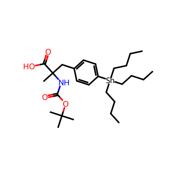 CCC[CH2][Sn]([CH2]CCC)([CH2]CCC)[c]1ccc(CC(C)(NC(=O)OC(C)(C)C)C(=O)O)cc1